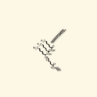 CC=CC=CC(=O)O.CC=CC=CC(=O)O.CC=CC=CC(=O)O.CC=CC=CC(=O)O.[KH].[KH].[KH].[KH].[KH].[KH].[KH].[KH].[KH].[KH].[KH].[KH].[KH].[KH]